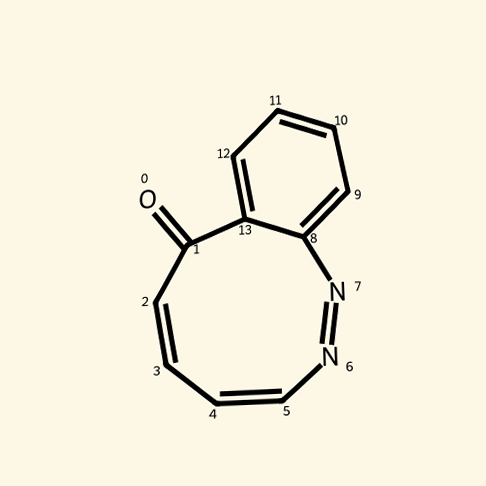 O=C1C=CC=CN=Nc2ccccc21